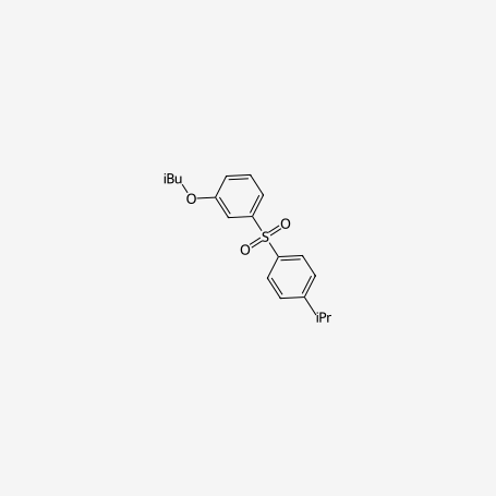 CCC(C)Oc1cccc(S(=O)(=O)c2ccc(C(C)C)cc2)c1